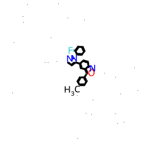 Cc1ccc(-c2onc3ccc(-c4ccnn4-c4ccccc4F)cc23)cc1